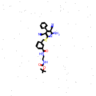 CC(C)(C)OC(=O)NCCNC(=O)c1cccc(CSc2nc(N)c(C#N)c(-c3ccccc3)c2C#N)c1